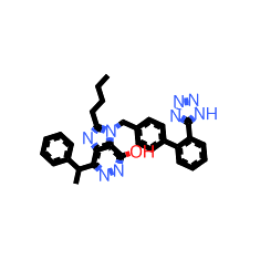 CCCCc1nc2c(C(C)c3ccccc3)nnc(O)c2n1Cc1ccc(-c2ccccc2-c2nnn[nH]2)cc1